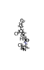 CC(=O)c1ccc(-c2cc(Cl)c3c(c2)CC(CNC(=O)/C=C/c2c(C)nn(C)c2Cl)O3)s1